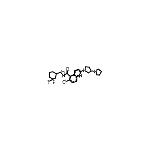 O=C(NCC1CCCC(F)(F)C1)c1c(Cl)ccc2nc(N3CCC(N4CCCC4)C3)ccc12